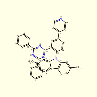 Cc1ccc2c3ccc(C)cc3n(-c3ccc(-c4ccncc4)cc3-c3nc(-c4ccccc4)nc(-c4ccccc4)n3)c2c1